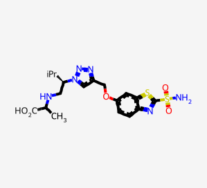 CC(NC[C@@H](C(C)C)n1cc(COc2ccc3nc(S(N)(=O)=O)sc3c2)nn1)C(=O)O